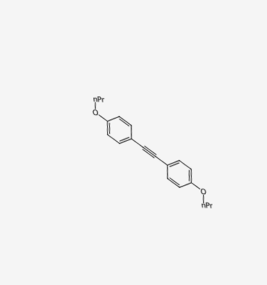 CCCOc1ccc(C#Cc2ccc(OCCC)cc2)cc1